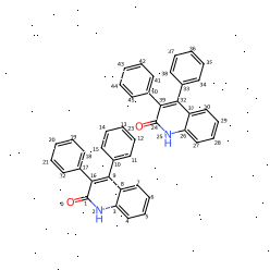 O=c1[nH]c2ccccc2c(-c2ccccc2)c1-c1ccccc1.O=c1[nH]c2ccccc2c(-c2ccccc2)c1-c1ccccc1